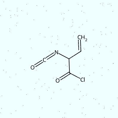 C=CC(N=C=O)C(=O)Cl